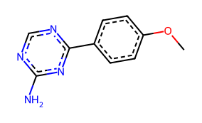 COc1ccc(-c2ncnc(N)n2)cc1